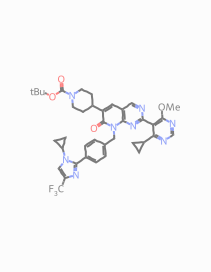 COc1ncnc(C2CC2)c1-c1ncc2cc(C3CCN(C(=O)OC(C)(C)C)CC3)c(=O)n(Cc3ccc(-c4nc(C(F)(F)F)cn4C4CC4)cc3)c2n1